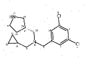 Clc1cc(Cl)cc(CN(CC2CC2)C[C@@H]2CCNC2)c1